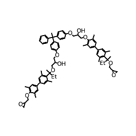 CCC(C)(OCC(O)COc1ccc(C(C)(c2ccccc2)c2ccc(OCC(O)COc3c(C)cc(-c4cc(C)c(C(C)(CC)OCC5CO5)c(C)c4)cc3C)cc2)cc1)c1c(C)cc(-c2cc(C)c(OCC3CO3)c(C)c2)cc1C